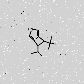 CC(C)C1c2c[nH]cc2C1C(C)(C)C